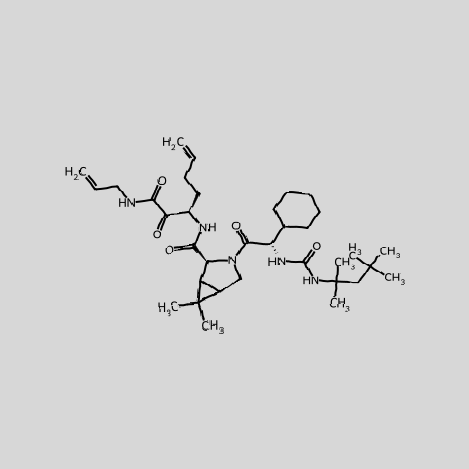 C=CCC[C@@H](NC(=O)[C@@H]1C2C(CN1C(=O)[C@@H](NC(=O)NC(C)(C)CC(C)(C)C)C1CCCCC1)C2(C)C)C(=O)C(=O)NCC=C